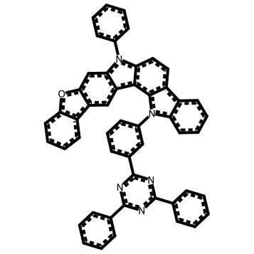 c1ccc(-c2nc(-c3ccccc3)nc(-c3cccc(-n4c5ccccc5c5ccc6c(c7cc8c(cc7n6-c6ccccc6)oc6ccccc68)c54)c3)n2)cc1